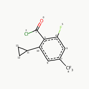 O=C(Cl)c1c(F)cc(C(F)(F)F)cc1C1CC1